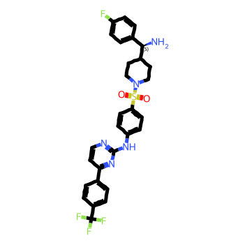 N[C@H](c1ccc(F)cc1)C1CCN(S(=O)(=O)c2ccc(Nc3nccc(-c4ccc(C(F)(F)F)cc4)n3)cc2)CC1